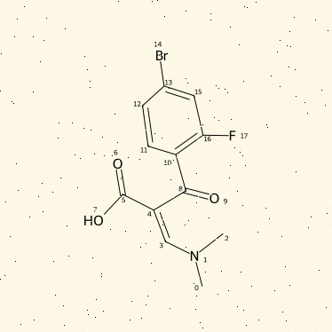 CN(C)/C=C(/C(=O)O)C(=O)c1ccc(Br)cc1F